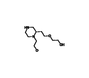 [O]CCN1CCNCC1CCOCCO